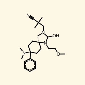 COCCN1C(O)N(CC(C)(C)C#N)C[C@]12CC[C@](c1ccccc1)(N(C)C)CC2